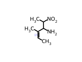 C/C=C(/C)C(N)C(C)[N+](=O)[O-]